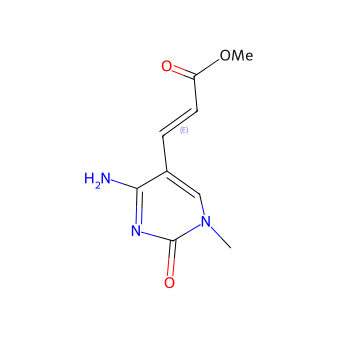 COC(=O)/C=C/c1cn(C)c(=O)nc1N